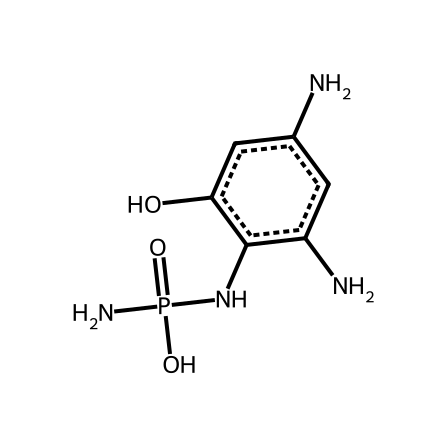 Nc1cc(N)c(NP(N)(=O)O)c(O)c1